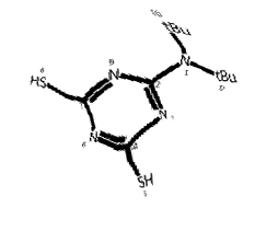 CC(C)(C)N(c1nc(S)nc(S)n1)C(C)(C)C